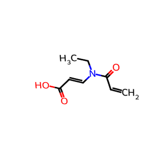 C=CC(=O)N(C=CC(=O)O)CC